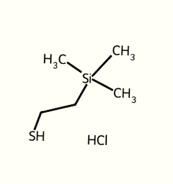 C[Si](C)(C)CCS.Cl